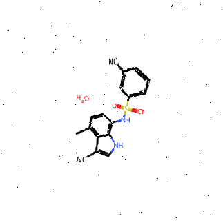 Cc1ccc(NS(=O)(=O)c2cccc(C#N)c2)c2[nH]cc(C#N)c12.O